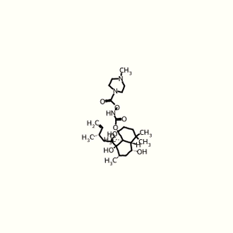 C=C[C@@H](C)CC(=O)[C@@]1(O)[C@@H](C)C[C@@H](O)[C@H]2C(C)(C)CC[C@@](O)(OC(=O)NOC(=O)N3CCN(C)CC3)[C@@]21C